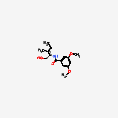 CC[C@H](C)[C@@H](CO)NC(=O)c1cc(OC)cc(OC)c1